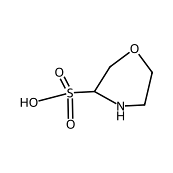 O=S(=O)(O)C1COCCN1